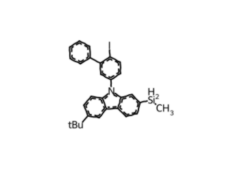 C[SiH2]c1ccc2c3cc(C(C)(C)C)ccc3n(-c3ccc(I)c(-c4ccccc4)c3)c2c1